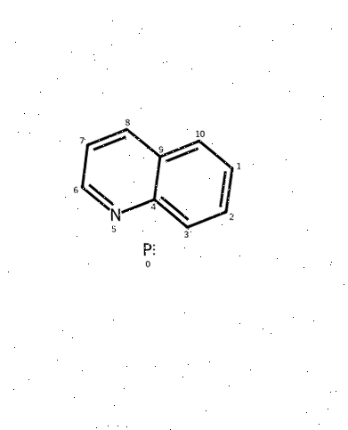 [P].c1ccc2ncccc2c1